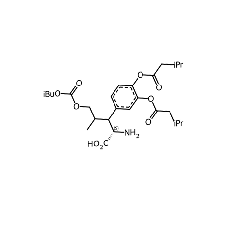 CC(C)COC(=O)OCC(C)C(c1ccc(OC(=O)CC(C)C)c(OC(=O)CC(C)C)c1)[C@H](N)C(=O)O